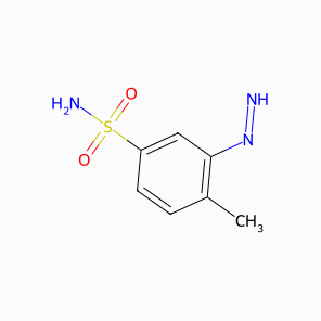 Cc1ccc(S(N)(=O)=O)cc1N=N